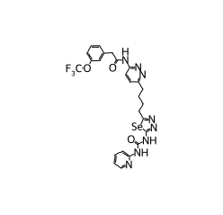 O=C(Cc1cccc(OC(F)(F)F)c1)Nc1ccc(CCCCc2nnc(NC(=O)Nc3ccccn3)[se]2)nn1